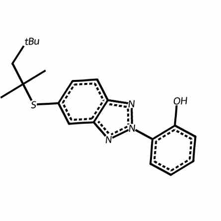 CC(C)(C)CC(C)(C)Sc1ccc2nn(-c3ccccc3O)nc2c1